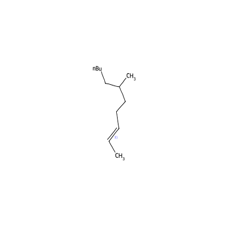 C[CH]CCCC(C)CC/C=C/C